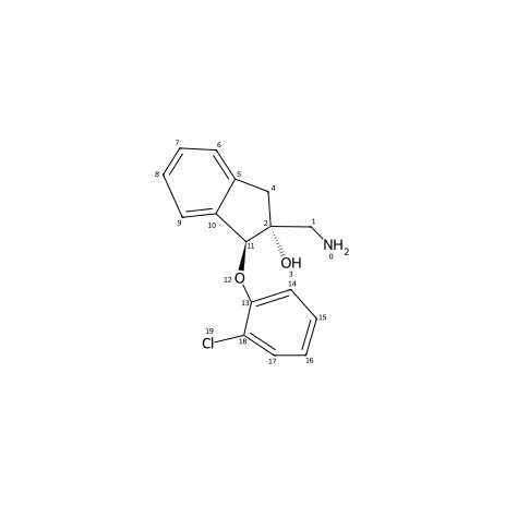 NC[C@]1(O)Cc2ccccc2[C@@H]1Oc1ccccc1Cl